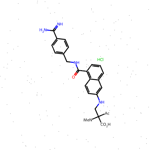 CNC(CNc1ccc2c(C(=O)NCc3ccc(C(=N)N)cc3)cccc2c1)(C(C)=O)C(=O)O.Cl